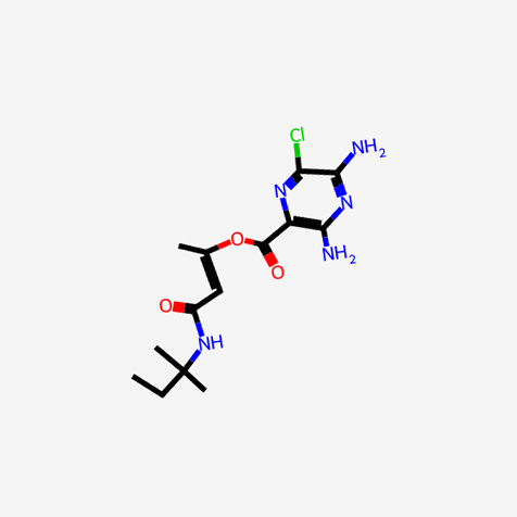 CCC(C)(C)NC(=O)C=C(C)OC(=O)c1nc(Cl)c(N)nc1N